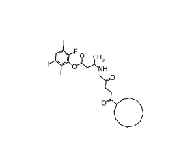 CC(CC(=O)Oc1c(F)c(I)cc(I)c1I)NCC(=O)CCC(=O)C1CCCCCCCCCCC1